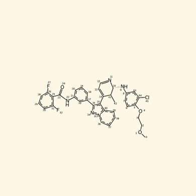 COCCOc1ccc(N[C@H]2N=CC=C(c3c(-c4cccc(NC(=O)c5c(F)cccc5F)c4)nn4ccccc34)C2C)cc1Cl